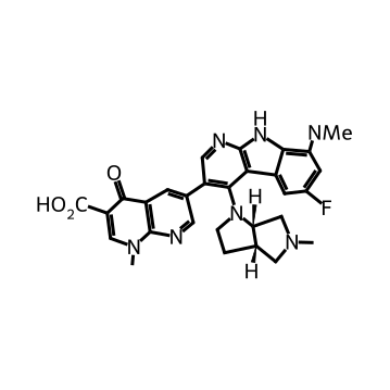 CNc1cc(F)cc2c1[nH]c1ncc(-c3cnc4c(c3)c(=O)c(C(=O)O)cn4C)c(N3CC[C@H]4CN(C)C[C@H]43)c12